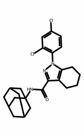 O=C(NC12CC3CC(CC(C3)C1)C2)c1nn(-c2ccc(Cl)cc2Cl)c2c1CCCC2